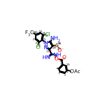 CC(=O)Oc1cccc(C(=O)ONC(=N)c2nn(-c3c(Cl)cc(C(F)(F)F)cc3Cl)c(N)c2[S+](C)[O-])c1